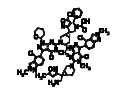 Cc1cc(C2(CN(Cc3ccccc3)C(=O)O)C3CCN(c4nc5c(c(-c6ccc7nn(C)cc7c6Cl)nn5C5CCCCO5)c(=O)n4C)CC32)no1.Cc1cc(C2(CN)C3CCN(c4nc5[nH]nc(-c6ccc7nn(C)cc7c6Cl)c5c(=O)n4C)CC32)no1